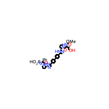 COC(=O)N[C@H](C(=O)N1CCC[C@H]1c1ncc(-c2ccc(-c3ccc(-c4cnc([C@@H]5CCCN5C(=O)[C@H](C(C)C)N(C)C(=O)O)[nH]4)cc3)cc2)[nH]1)[C@H](C)CO